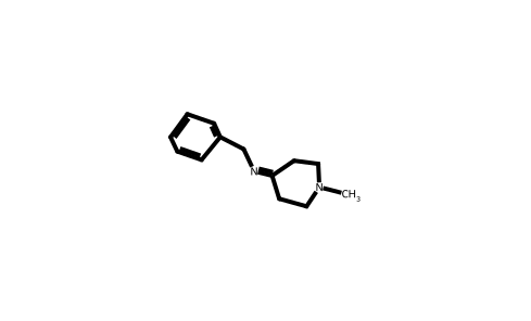 CN1CCC(=NCc2ccccc2)CC1